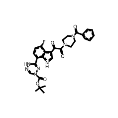 CC(C)(C)OC(=O)N1C=NNC(c2ccc(F)c3c(C(=O)C(=O)N4CCN(C(=O)c5ccccc5)CC4)c[nH]c23)=N1